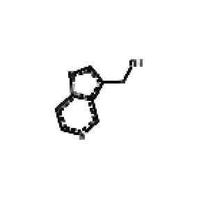 OCc1csc2ccncc12